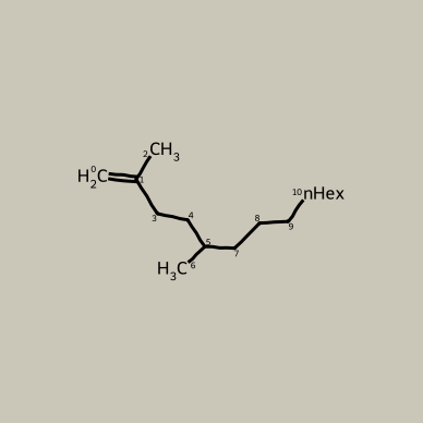 C=C(C)CCC(C)CCCCCCCCC